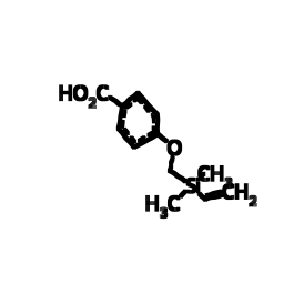 C=C[Si](C)(C)COc1ccc(C(=O)O)cc1